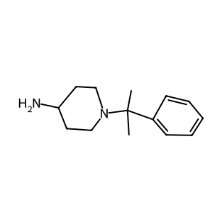 CC(C)(c1ccccc1)N1CCC(N)CC1